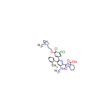 CNc1cc(-c2ccccc2C)c(-c2ccc(Cl)c(OCCCN(C)C)c2)nc1C(=O)NC1(C(=O)O)CCCCC1.Cl